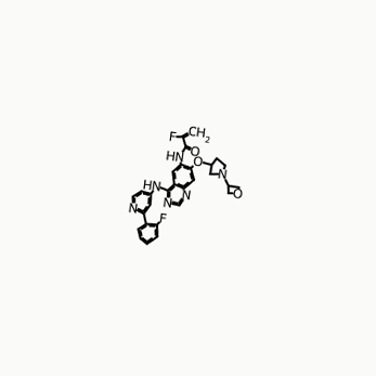 C=C(F)C(=O)Nc1cc2c(Nc3ccnc(-c4ccccc4F)c3)ncnc2cc1OC1CCN(C2COC2)C1